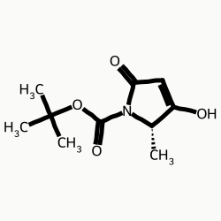 C[C@H]1C(O)=CC(=O)N1C(=O)OC(C)(C)C